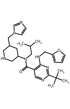 CC(C)CN(C(=O)c1cnc(C(C)(C)C)nc1NCc1ccco1)C1CNCC(Cn2ccnc2)C1